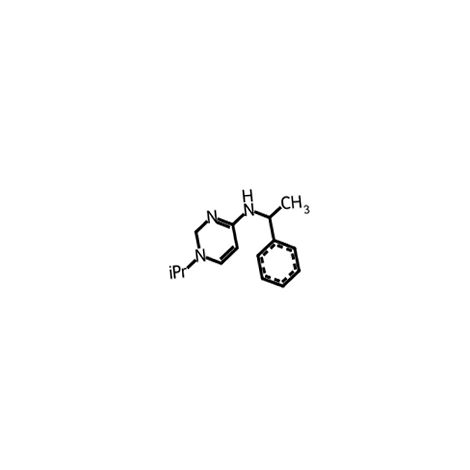 CC(NC1=NCN(C(C)C)C=C1)c1ccccc1